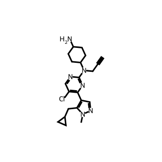 C#CCN(c1ncc(Cl)c(-c2cnn(C)c2CC2CC2)n1)C1CCC(N)CC1